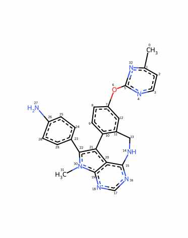 Cc1ccnc(Oc2ccc3c(c2)CNc2ncnc4c2c-3c(-c2ccc(N)cc2)n4C)n1